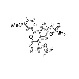 COc1cccc(C2OC3C=CC=C(OC(F)F)C3=C3C=CC(C)(CS(N)(=O)=O)C=C32)c1